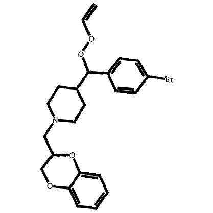 C=COOC(c1ccc(CC)cc1)C1CCN(CC2COc3ccccc3O2)CC1